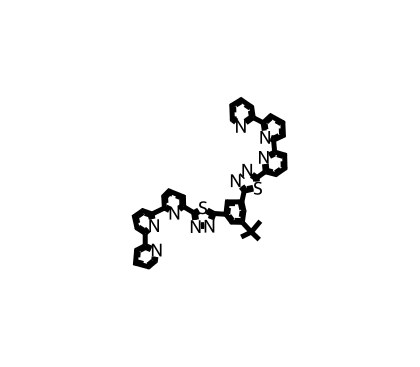 CC(C)(C)c1cc(-c2nnc(-c3cccc(-c4cccc(-c5ccccn5)n4)n3)s2)cc(-c2nnc(-c3cccc(-c4cccc(-c5ccccn5)n4)n3)s2)c1